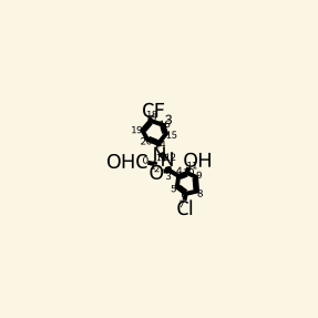 O=CC1OC(c2cc(Cl)ccc2O)=NN1c1ccc(C(F)(F)F)cc1